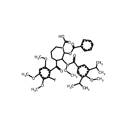 COc1cc(OC)c(C(=O)C2CCCN(C(=O)O)C(OC(=O)c3ccccc3)C2N(OC)C(=O)c2cc(C(C)C)c(OC)c(C(C)C)c2)c(F)c1OC